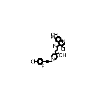 COc1ccc2ncc(Cl)c([C@@H](F)CCC3(CO)CCN(CC#Cc4ccc(Cl)cc4F)CC3)c2c1